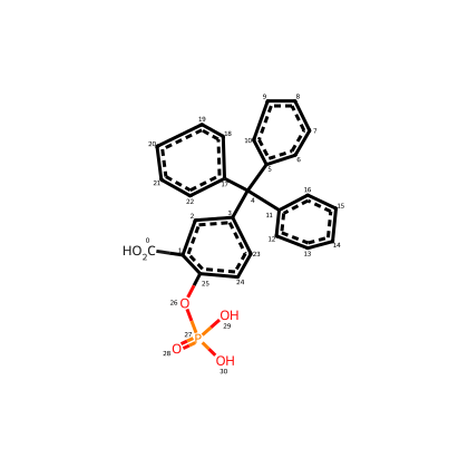 O=C(O)c1cc(C(c2ccccc2)(c2ccccc2)c2ccccc2)ccc1OP(=O)(O)O